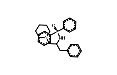 O=P(NC(Cc1ccccc1)CN1CCCCC1)(c1ccccc1)c1ccccc1